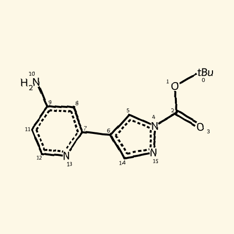 CC(C)(C)OC(=O)n1cc(-c2cc(N)ccn2)cn1